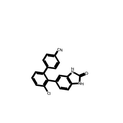 N#Cc1ccc(-c2cccc(Cl)c2-c2ccc3[nH]c(=O)[nH]c3c2)cc1